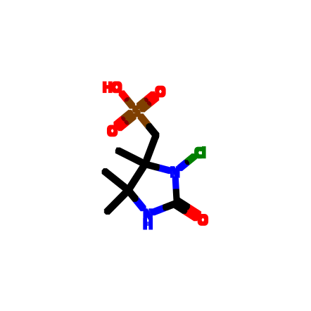 CC1(C)NC(=O)N(Cl)C1(C)CS(=O)(=O)O